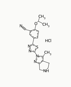 Cc1c2c(nn1-c1nnc(-c3ccc(OC(C)C)c(C#N)c3)s1)CNCC2.Cl